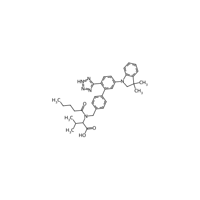 CCCCC(=O)N(Cc1ccc(-c2cc(N3CC(C)(C)c4ccccc43)ccc2-c2nn[nH]n2)cc1)C(C(=O)O)C(C)C